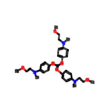 CCOCCN(CC)c1ccc(OB(Oc2ccc(N(CC)CCOCC)cc2)Oc2ccc(N(CC)CCOCC)cc2)cc1